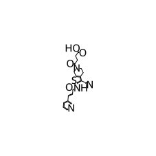 N#Cc1c(NC(=O)C=Cc2cccnc2)sc2c1CCN(C(=O)CCC(=O)O)C2